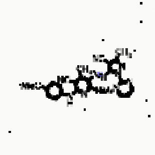 CNc1nc(Nc2ccc(OC)cc2)c(C#N)c(C)c1/N=N/c1c(C#N)c(C)nn1-c1ncccn1